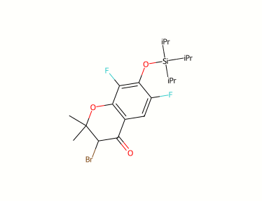 CC(C)[Si](Oc1c(F)cc2c(c1F)OC(C)(C)C(Br)C2=O)(C(C)C)C(C)C